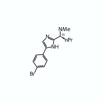 CCC[C@H](NC)c1ncc(-c2ccc(Br)cc2)[nH]1